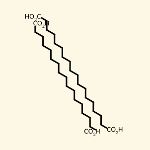 O=C(O)CCCCCCCCCCCCCCCC(=O)O.O=C(O)CCCCCCCCCCCCCCCCC(=O)O